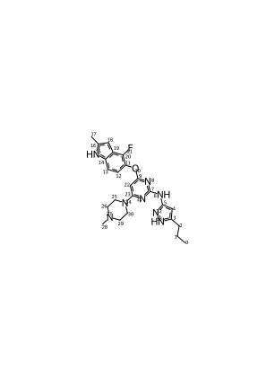 CCCc1cc(Nc2nc(Oc3ccc4[nH]c(C)cc4c3F)cc(N3CCN(C)CC3)n2)n[nH]1